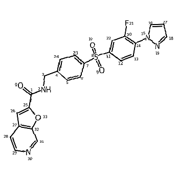 O=C(NCc1ccc(S(=O)(=O)c2ccc(-n3cccn3)c(F)c2)cc1)c1cc2ccncc2o1